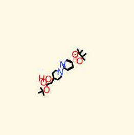 CC(C)(C)OC(=O)CC1(O)CCN(c2ccc(B3OC(C)(C)C(C)(C)O3)cn2)CC1